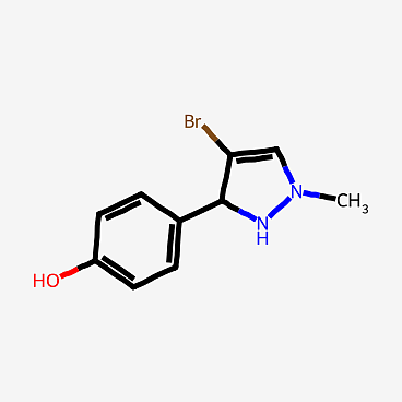 CN1C=C(Br)C(c2ccc(O)cc2)N1